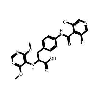 COc1ncnc(OC)c1NC(Cc1ccc(NC(=O)c2c(Cl)cncc2Cl)cc1)C(=O)O